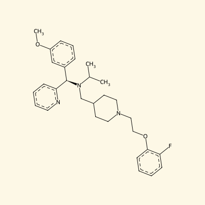 COc1cccc([C@H](c2ccccn2)N(CC2CCN(CCOc3ccccc3F)CC2)C(C)C)c1